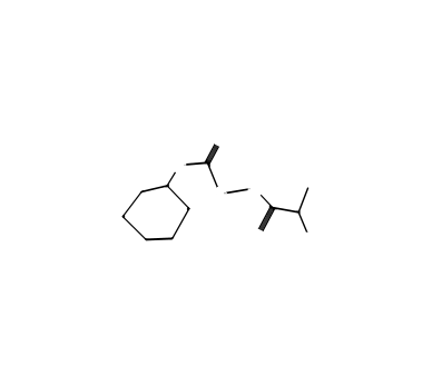 CC(C)C(=O)OOC(=O)OC1CCCCC1